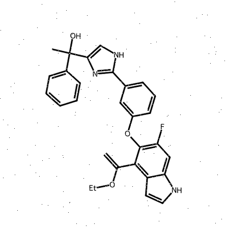 C=C(OCC)c1c(Oc2cccc(-c3nc(C(C)(O)c4ccccc4)c[nH]3)c2)c(F)cc2[nH]ccc12